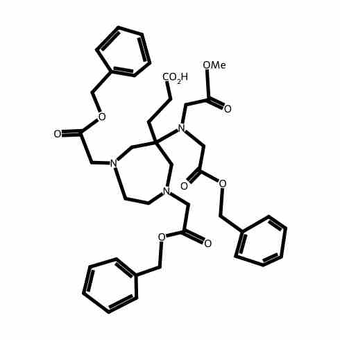 COC(=O)CN(CC(=O)OCc1ccccc1)C1(CCC(=O)O)CN(CC(=O)OCc2ccccc2)CCN(CC(=O)OCc2ccccc2)C1